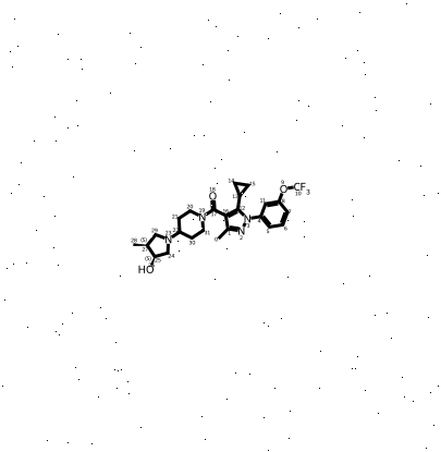 Cc1nn(-c2cccc(OC(F)(F)F)c2)c(C2CC2)c1C(=O)N1CCC(N2C[C@@H](O)[C@@H](C)C2)CC1